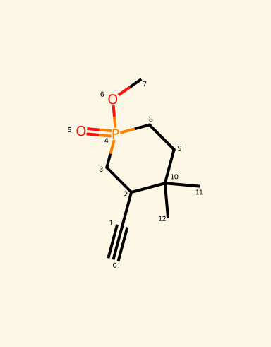 C#CC1CP(=O)(OC)CCC1(C)C